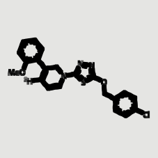 [2H]C1=C(c2ccccc2OC)CN(c2nnc(OCc3ccc(Cl)cc3)s2)C=C1